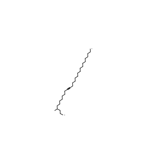 [CH2]CCCCCCCCCCCCCCCC#CCCCCCCCC(C)CC[CH2]